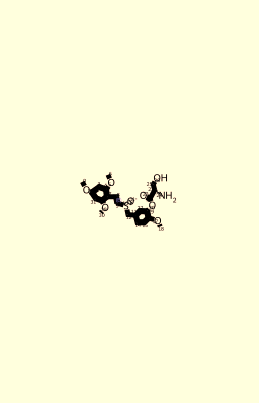 COc1cc(OC)c(/C=C/[S+]([O-])Cc2ccc(OC)c(OC(=O)[C@@H](N)CO)c2)c(OC)c1